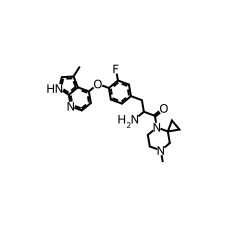 Cc1c[nH]c2nccc(Oc3ccc(CC(N)C(=O)N4CCN(C)CC45CC5)cc3F)c12